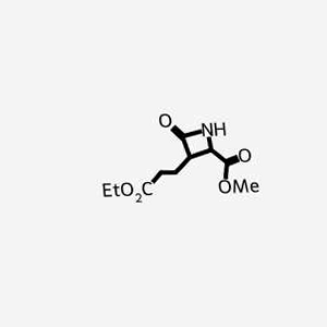 CCOC(=O)CCC1C(=O)NC1C(=O)OC